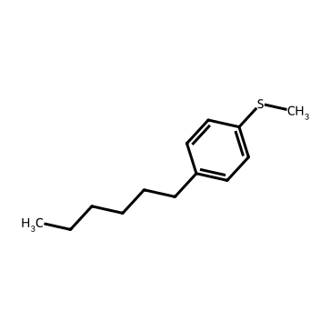 CCCCCCc1ccc(SC)cc1